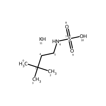 CC(C)(C)CCNS(=O)(=O)O.[KH]